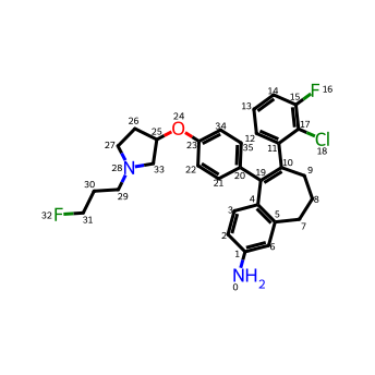 Nc1ccc2c(c1)CCCC(c1cccc(F)c1Cl)=C2c1ccc(OC2CCN(CCCF)C2)cc1